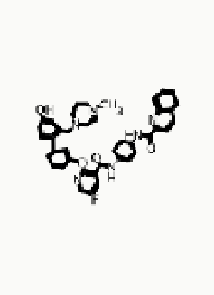 CN1CCCN(Cc2cc(O)ccc2-c2cccc(Oc3ncc(F)cc3C(=O)N[C@H]3CC[C@H](NC(=O)c4ccc5ccccc5n4)CC3)c2)CC1